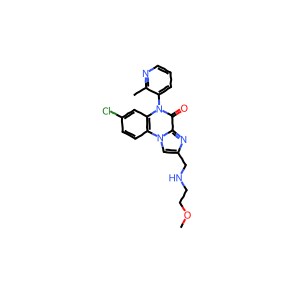 COCCNCc1cn2c(n1)c(=O)n(-c1cccnc1C)c1cc(Cl)ccc12